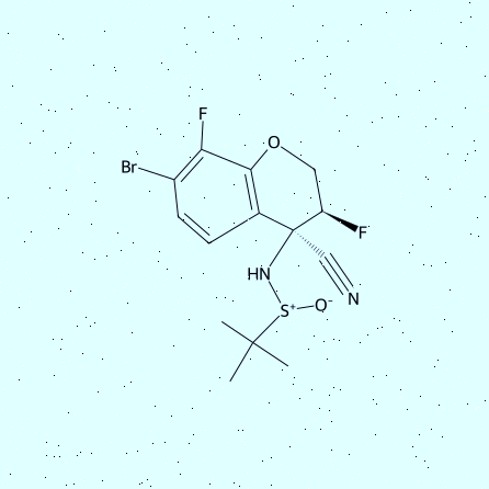 CC(C)(C)[S+]([O-])N[C@@]1(C#N)c2ccc(Br)c(F)c2OC[C@H]1F